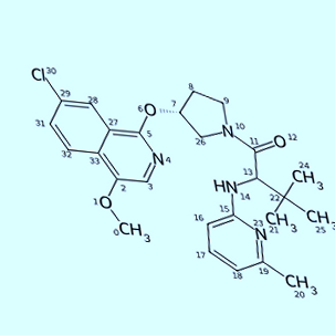 COc1cnc(O[C@@H]2CCN(C(=O)C(Nc3cccc(C)n3)C(C)(C)C)C2)c2cc(Cl)ccc12